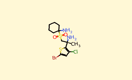 C[C@](N)(CS(=O)(=O)C1(N)CCCCC1)c1sc(Br)cc1Cl